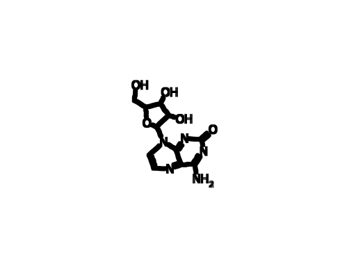 Nc1nc(=O)nc2n(C3OC(CO)C(O)C3O)ccnc1-2